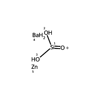 O=[Si](O)O.[BaH2].[Zn]